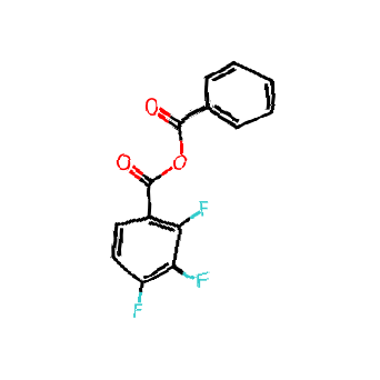 O=C(OC(=O)c1ccc(F)c(F)c1F)c1ccccc1